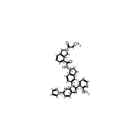 C=CC(=O)N1Cc2cccc(C(=O)N[C@H]3CCc4cc(-n5c(-c6cccnc6N)nc6ccc(-n7cccn7)nc65)ccc43)c2C1